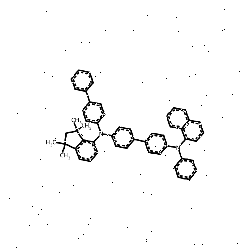 CC1(C)CC(C)(C)c2c(N(c3ccc(-c4ccccc4)cc3)c3ccc(-c4ccc(N(c5ccccc5)c5cccc6ccccc56)cc4)cc3)cccc21